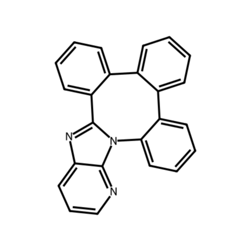 c1ccc2c(c1)-c1ccccc1-c1nc3cccnc3n1-c1ccccc1-2